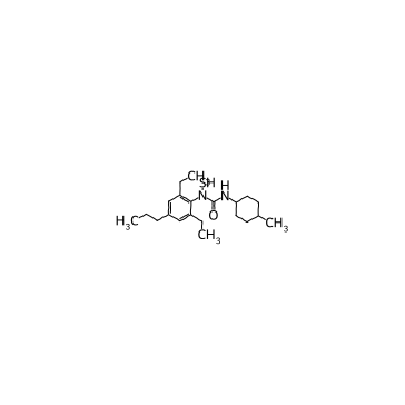 CCCc1cc(CC)c(N(S)C(=O)NC2CCC(C)CC2)c(CC)c1